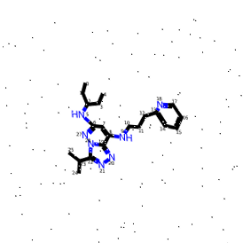 CCC(CC)Nc1cc(NCCCc2ccccn2)c2nnc(C(C)C)n2n1